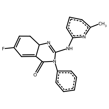 Cc1cccc(NC2=NC3CC=C(F)C=C3C(=O)N2c2ccccc2)n1